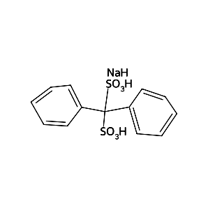 O=S(=O)(O)C(c1ccccc1)(c1ccccc1)S(=O)(=O)O.[NaH]